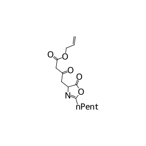 C=CCOC(=O)CC(=O)CC1N=C(CCCCC)OC1=O